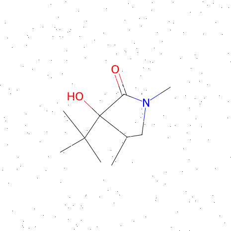 CC1CN(C)C(=O)C1(O)C(C)(C)C